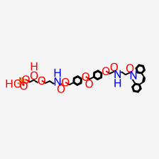 CP(=O)(O)OCC(O)COCCCNC(=O)OCc1ccc(OC(=O)c2ccc(OCC(=O)NCCC(=O)N3Cc4ccccc4C#Cc4ccccc43)cc2)cc1